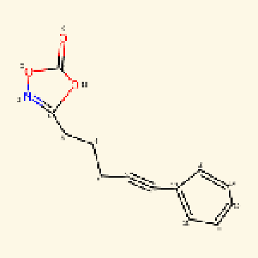 O=c1onc(CCCC#Cc2ccccc2)o1